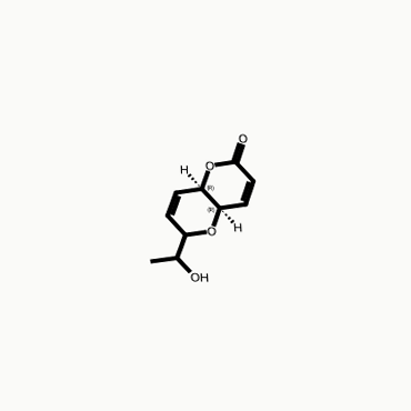 CC(O)C1C=C[C@H]2OC(=O)C=C[C@H]2O1